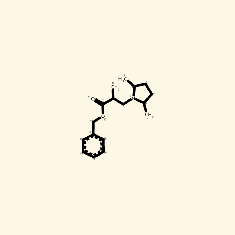 CC(CN1C(C)CCC1C)C(=O)OCc1ccccc1